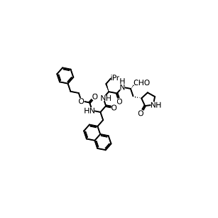 CC(C)C[C@H](NC(=O)C(Cc1cccc2ccccc12)NC(=O)OCCc1ccccc1)C(=O)N[C@H](C=O)C[C@@H]1CCNC1=O